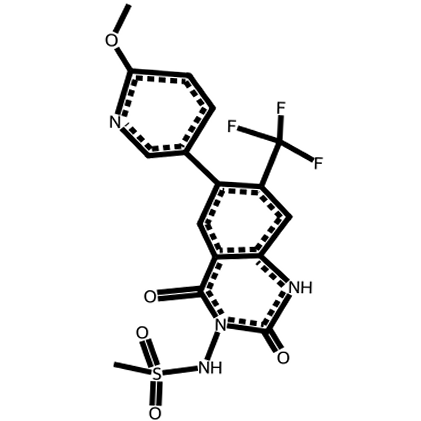 COc1ccc(-c2cc3c(=O)n(NS(C)(=O)=O)c(=O)[nH]c3cc2C(F)(F)F)cn1